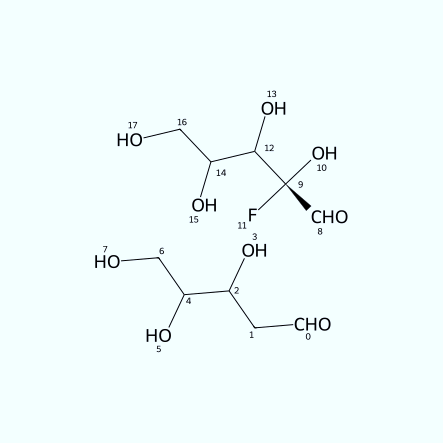 O=CCC(O)C(O)CO.O=C[C@@](O)(F)C(O)C(O)CO